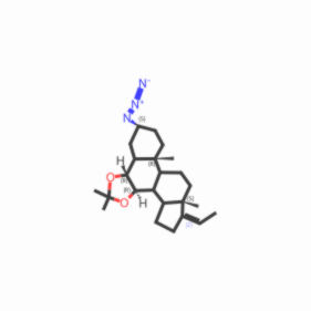 C/C=C1/CCC2C3C(CC[C@]12C)[C@@]1(C)CC[C@H](N=[N+]=[N-])CC1[C@H]1OC(C)(C)O[C@H]31